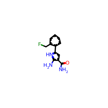 NC(=O)c1cc(-c2ccccc2CF)[nH]c1N